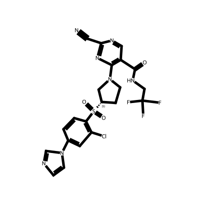 N#Cc1ncc(C(=O)NCC(F)(F)F)c(N2CC[C@H](S(=O)(=O)c3ccc(-n4ccnc4)cc3Cl)C2)n1